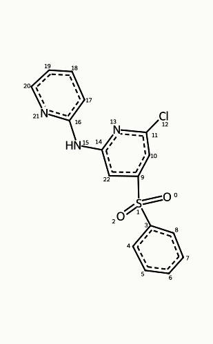 O=S(=O)(c1ccccc1)c1cc(Cl)nc(Nc2ccccn2)c1